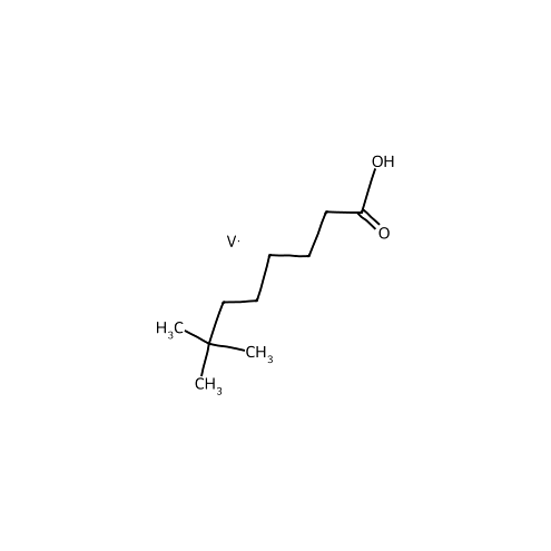 CC(C)(C)CCCCCC(=O)O.[V]